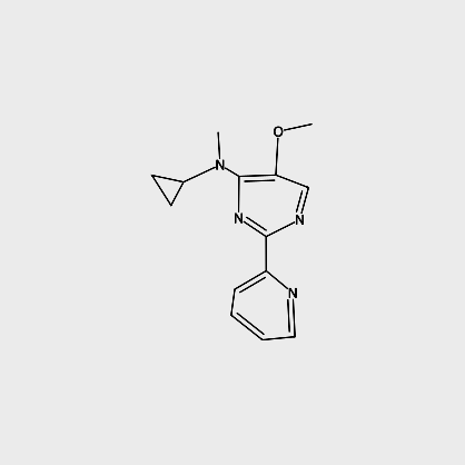 COc1cnc(-c2ccccn2)nc1N(C)C1CC1